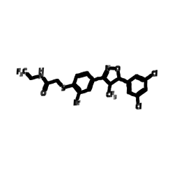 O=C(CSc1ccc(C2=NOC(c3cc(Cl)cc(Cl)c3)C2C(F)(F)F)cc1Br)NCC(F)(F)F